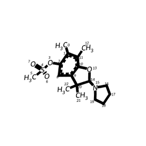 Cc1c(OS(C)(=O)=O)cc2c(c1C)OC(N1CCCC1)C2(C)C